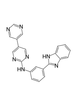 c1cc(Nc2ncc(-c3cncnc3)cn2)cc(-c2nc3ccccc3[nH]2)c1